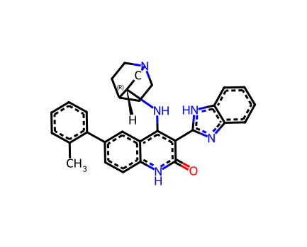 Cc1ccccc1-c1ccc2[nH]c(=O)c(-c3nc4ccccc4[nH]3)c(N[C@H]3CN4CCC3CC4)c2c1